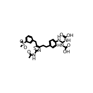 CC(=O)Nc1nc(CCc2ccc(NC(NC(=O)O)NC(=O)O)cc2)c(Cc2cccc(S(C)(=O)=O)c2)s1